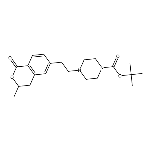 CC1Cc2cc(CCN3CCN(C(=O)OC(C)(C)C)CC3)ccc2C(=O)O1